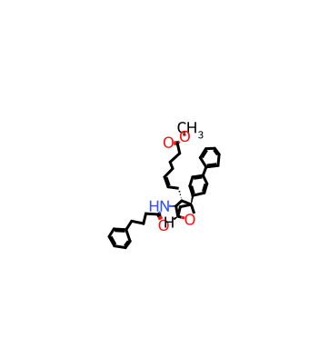 COC(=O)CCC/C=C\C[C@H]1[C@H](NC(=O)CCCc2ccccc2)[C@@H]2C[C@@]1(c1ccc(-c3ccccc3)cc1)CO2